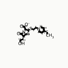 CSc1cc[n+](CCSC2SC3[C@@H](CCO)C(=O)N3C2C(=O)[O-])cc1